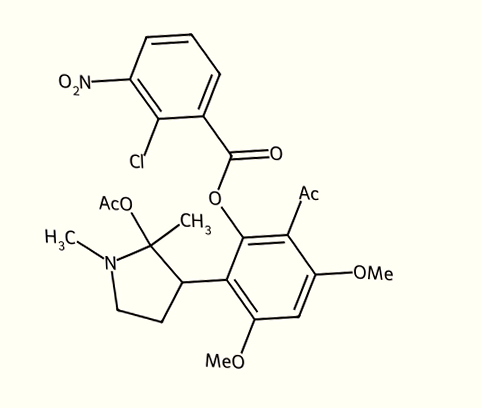 COc1cc(OC)c(C2CCN(C)C2(C)OC(C)=O)c(OC(=O)c2cccc([N+](=O)[O-])c2Cl)c1C(C)=O